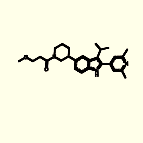 COCCC(=O)N1CCCC(c2ccc3[nH]c(-c4cc(C)nc(C)c4)c(C(C)C)c3c2)C1